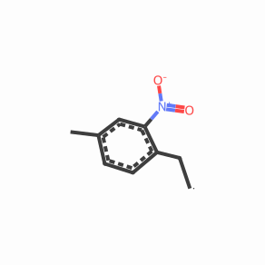 [CH2]Cc1ccc(C)cc1[N+](=O)[O-]